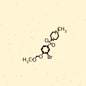 COCOc1ccc(S(=O)(=O)N2CCN(C)CC2)cc1Br